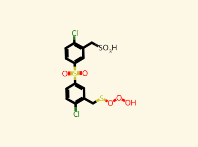 O=S(=O)(O)Cc1cc(S(=O)(=O)c2ccc(Cl)c(CSOOO)c2)ccc1Cl